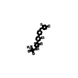 CCC1CN(c2ncc(Nc3c(N)c(=O)c3=O)cc2Cl)CCN1C1CCN(Cc2ccc(Cl)cc2F)CC1